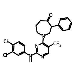 O=C1CCCN(c2nc(Nc3ccc(Cl)c(Cl)c3)ncc2C(F)(F)F)CC1c1ccccc1